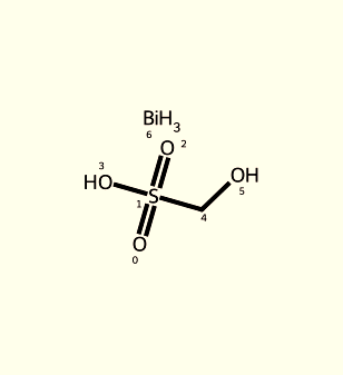 O=S(=O)(O)CO.[BiH3]